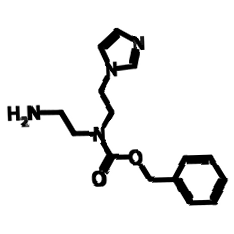 NCCN(CCn1ccnc1)C(=O)OCc1ccccc1